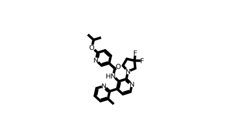 Cc1cccnc1-c1ccnc(N2CCC(F)(F)C2)c1NC(=O)c1ccc(OC(C)C)nc1